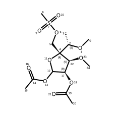 CO[C@@H](C)[C@@]1(COS(C)(=O)=O)OC(OC(C)=O)[C@H](OC(C)=O)[C@@H]1OC